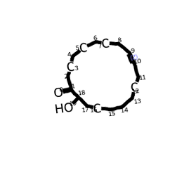 O=C1CCCCCCC/C=C\CCCCCCCC1O